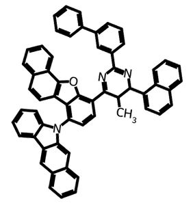 CC1C(c2ccc(-n3c4ccccc4c4cc5ccccc5cc43)c3c2oc2c4ccccc4ccc23)=NC(c2cccc(-c3ccccc3)c2)=NC1c1cccc2ccccc12